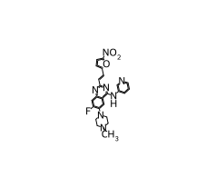 CN1CCN(c2cc3c(Nc4cccnc4)nc(/C=C/c4ccc([N+](=O)[O-])o4)nc3cc2F)CC1